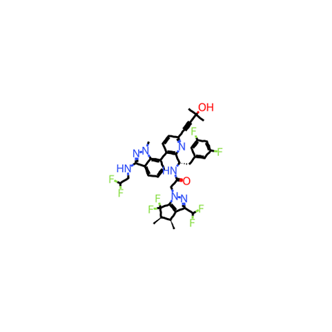 C[C@@H]1c2c(C(F)F)nn(CC(=O)N[C@@H](Cc3cc(F)cc(F)c3)c3nc(C#CC(C)(C)O)ccc3-c3cccc4c(NCC(F)F)nn(C)c34)c2C(F)(F)[C@@H]1C